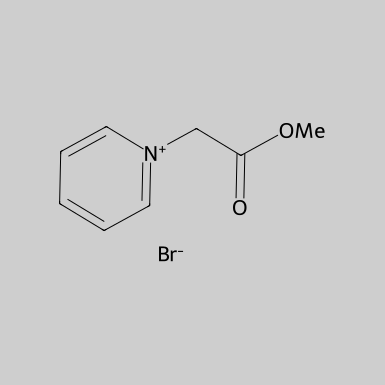 COC(=O)C[n+]1ccccc1.[Br-]